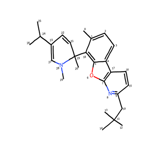 Cc1ccc2c(oc3nc(CC(C)(C)C)ccc32)c1C1(C)C=CC(C(C)C)=CN1C